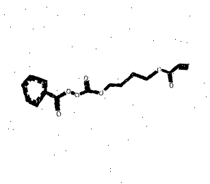 C=CC(=O)OCCCCOC(=O)OOC(=O)c1ccccc1